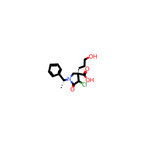 C[C@H](c1ccccc1)N1C[C@@](CCCO)(C(=O)O)C(Cl)C1=O